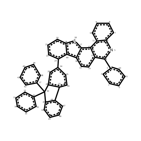 c1ccc(-c2nc3ccccc3c3c2ccc2c3sc3cccc(-c4ccc5c(c4)C(c4ccccc4)(c4ccccc4)c4ccccc4-5)c32)cc1